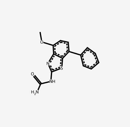 COc1ccc(-c2ccccc2)c2sc(NC(N)=O)nc12